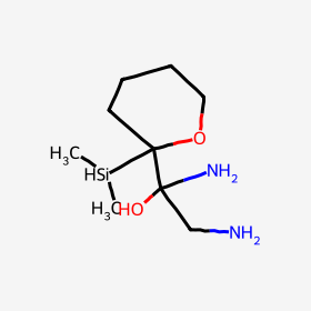 C[SiH](C)C1(C(N)(O)CN)CCCCO1